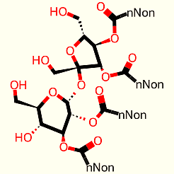 CCCCCCCCCC(=O)O[C@@H]1[C@@H](CO)O[C@@](CO)(O[C@H]2O[C@H](CO)[C@@H](O)[C@H](OC(=O)CCCCCCCCC)[C@H]2OC(=O)CCCCCCCCC)[C@H]1OC(=O)CCCCCCCCC